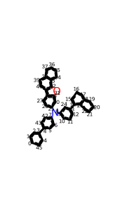 c1ccc(-c2ccc(N(c3cccc(-c4cccc5ccccc45)c3)c3ccc4c(c3)oc3c5ccccc5ccc43)cc2)cc1